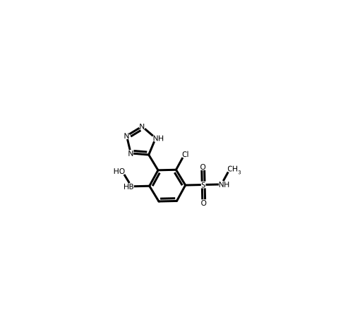 CNS(=O)(=O)c1ccc(BO)c(-c2nnn[nH]2)c1Cl